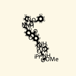 COC(=O)N[C@H](C(=O)N1CCC[C@H]1C1=NCC(c2ccc3c(=O)c4cc(C5CN=C([C@@H]6CCCN6C(=O)OCc6ccccc6)N5)ccc4oc3c2)N1)C(C)C